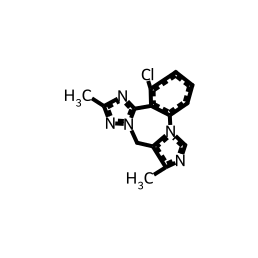 Cc1nc2n(n1)Cc1c(C)ncn1-c1cccc(Cl)c1-2